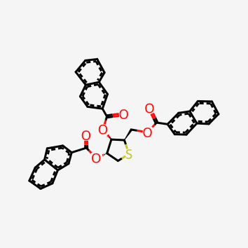 O=C(OC[C@H]1SC[C@H](OC(=O)c2ccc3ccccc3c2)[C@H]1OC(=O)c1ccc2ccccc2c1)c1ccc2ccccc2c1